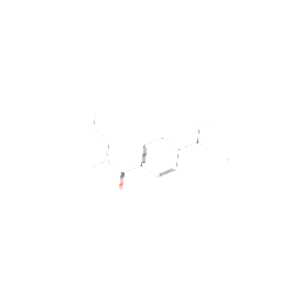 CC(C)C1C=CC(C(=O)N(C)CCF)=CC1